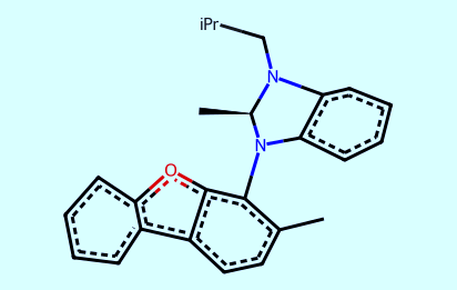 Cc1ccc2c(oc3ccccc32)c1N1c2ccccc2N(CC(C)C)[C@@H]1C